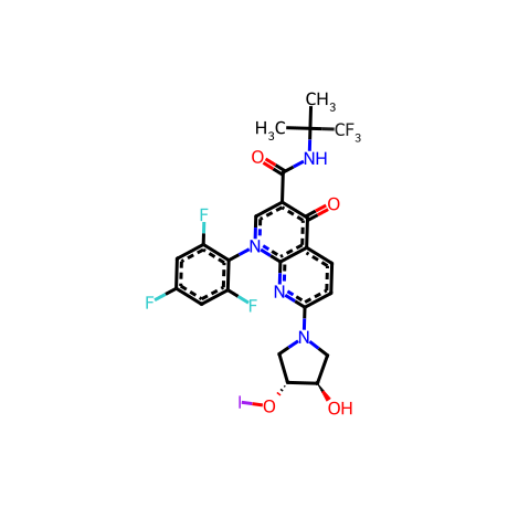 CC(C)(NC(=O)c1cn(-c2c(F)cc(F)cc2F)c2nc(N3C[C@@H](O)[C@H](OI)C3)ccc2c1=O)C(F)(F)F